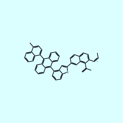 C=C(C)c1c(/C=C\C)ccc2ccc(-c3cc4c(-c5c6ccccc6c(-c6ccc(C)c7ccccc67)c6ccccc56)cccc4s3)cc12